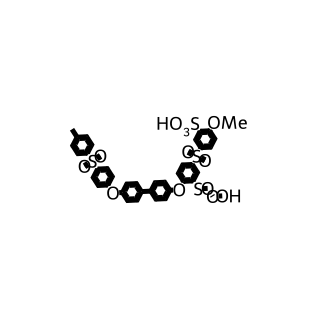 COc1ccc(S(=O)(=O)c2ccc(Oc3ccc(-c4ccc(Oc5ccc(S(=O)(=O)c6ccc(C)cc6)cc5)cc4)cc3)c(SOOO)c2)cc1S(=O)(=O)O